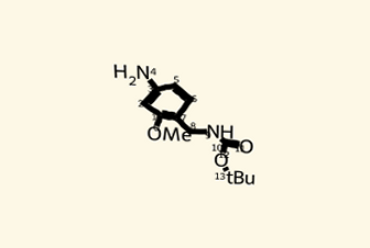 COc1cc(N)ccc1CNC(=O)OC(C)(C)C